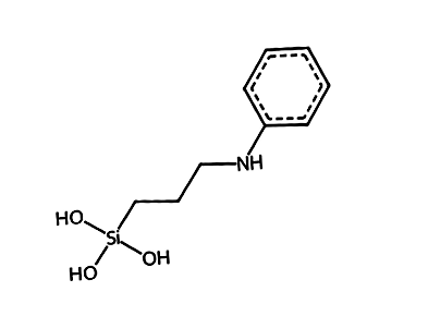 O[Si](O)(O)CCCNc1ccccc1